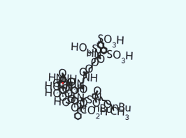 CCCCC(C)(CCCC)COCCCN1C(=O)CC(SCC(=O)N[C@H]2C([C@@H]3C[C@H](C(=O)NCCNC(=O)COCCOCC(=O)Nc4cc(S(=O)(=O)O)cc5cc(S(=O)(=O)O)cc(S(=O)(=O)O)c45)C[C@H](NC(=O)c4cc(=O)[nH]c(=O)[nH]4)[C@H]3O[C@@H]3O[C@@H](C)[C@@H](O)[C@@H](O)[C@@H]3O)O[C@H](CO)[C@H](O)[C@@H]2O[C@@H](CC2CCCCC2)C(=O)O)C1=O